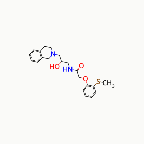 CSc1ccccc1OCC(=O)NCC(O)CN1CCc2ccccc2C1